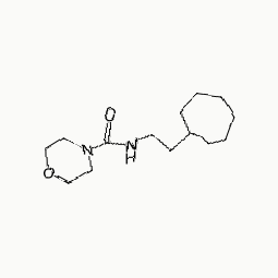 O=C(NCCC1CCCCCC1)N1CCOCC1